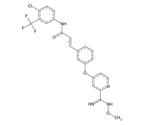 CONC(=N)c1cc(Oc2cccc(/C=C/C(=O)Nc3ccc(Cl)c(C(F)(F)F)c3)c2)ccn1